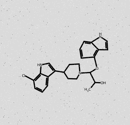 CC(O)C(Oc1cccc2[nH]ccc12)N1CCC(c2c[nH]c3c(Cl)cccc23)CC1